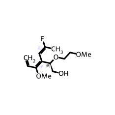 C=C/C(OC)=C(\C=C(/C)F)[C@H](CO)OCCOC